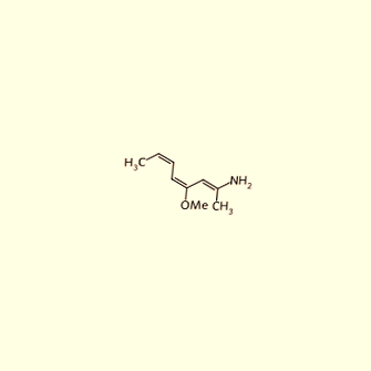 C\C=C/C=C(\C=C(/C)N)OC